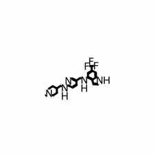 CN1CCC(CNc2ccc(CNc3cc(C(F)(F)F)cc4[nH]ccc34)cn2)CC1